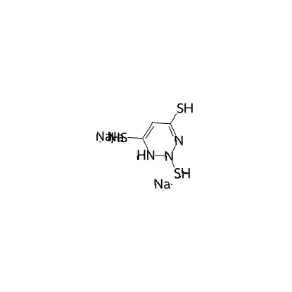 SC1=CC(S)=NN(S)N1.[Na].[Na].[Na]